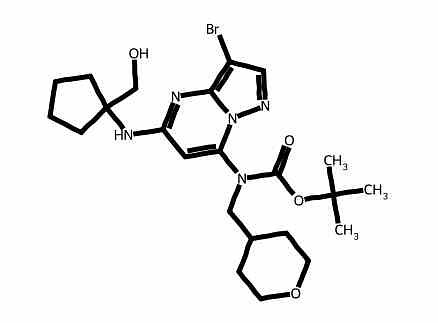 CC(C)(C)OC(=O)N(CC1CCOCC1)c1cc(NC2(CO)CCCC2)nc2c(Br)cnn12